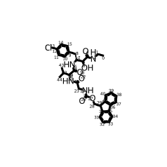 CCNC(=O)C(O)[C@H](Cc1ccc(Cl)cc1)NC(=O)[C@@H](NC(=O)CNC(=O)OCC1c2ccccc2-c2ccccc21)C(C)C